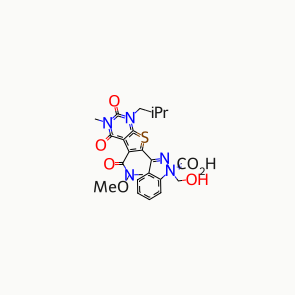 CON(C)C(=O)c1c(C2=N[N+](CO)(C(=O)O)c3ccccc32)sc2c1c(=O)n(C)c(=O)n2CC(C)C